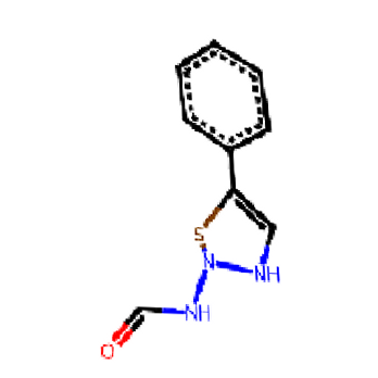 O=[C]NN1NC=C(c2ccccc2)S1